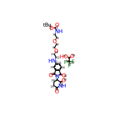 CC(C)(C)OC(=O)NCCOCCOCCNc1ccc2c(c1)C(=O)N(C1CCC(=O)NC1=O)C2=O.O=C(O)C(F)(F)F